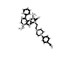 Cn1c(=O)n(CCN2CCN(c3ccc(C#N)cc3)CC2)c2nc3c(n21)C(c1ccccn1)=NCN3N